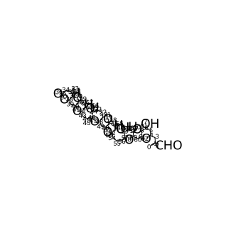 C=C(C=O)C[C@@H]1C[C@H](O)[C@]2(C)O[C@@H]3C[C@@H]4O[C@@H]5C[C@]6(C)O[C@]7(C)CC[C@@H]8O[C@@H]9C[C@]%10(C)O[C@@H]%11C(C)=CC(=O)OC%11CC%10OC9C[C@@H](C)C8OC7CC6O[C@@]5(C)C/C=C\C4OC3CC2O1